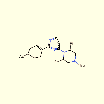 CCC(C)N1CC(CC)N(c2ccnc(C3=CCC(C(C)=O)CC3)n2)C(CC)C1